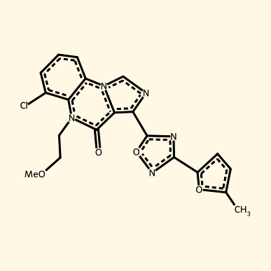 COCCn1c(=O)c2c(-c3nc(-c4ccc(C)o4)no3)ncn2c2cccc(Cl)c21